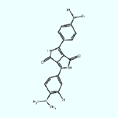 CCN(CC)c1ccc(C2=C3C(=O)NC(c4ccc(N(C)C)c(Cl)c4)=C3C(=O)N2)cc1